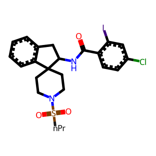 CCCS(=O)(=O)N1CCC2(CC1)c1ccccc1CC2NC(=O)c1ccc(Cl)cc1I